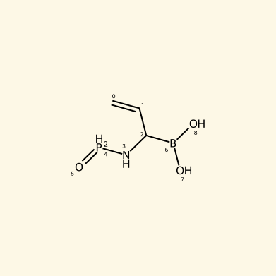 C=CC(N[PH2]=O)B(O)O